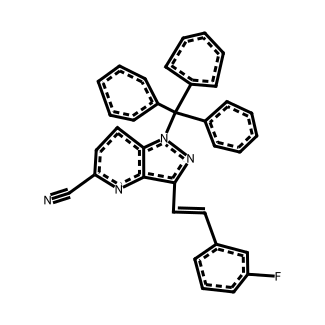 N#Cc1ccc2c(n1)c(/C=C/c1cccc(F)c1)nn2C(c1ccccc1)(c1ccccc1)c1ccccc1